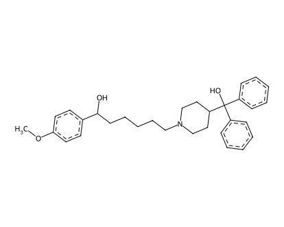 COc1ccc(C(O)CCCCCN2CCC(C(O)(c3ccccc3)c3ccccc3)CC2)cc1